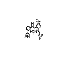 CCC(Nc1cccc(-c2cnn(C)c2)c1)C1=C(N(N)CC2CC2(F)F)CCN(C(C)=O)C1